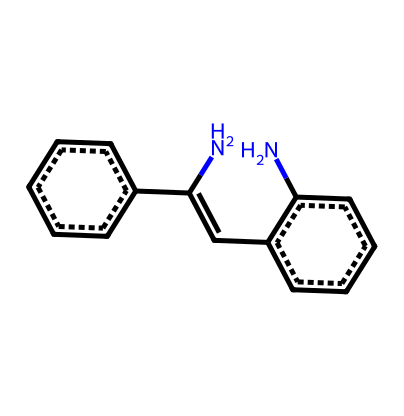 NC(=Cc1ccccc1N)c1ccccc1